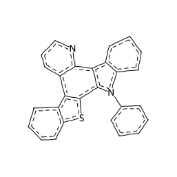 c1ccc(-n2c3ccccc3c3c4ncccc4c4c5ccccc5sc4c32)cc1